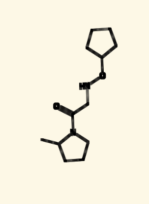 CC1CCCN1C(=O)CNOC1CCCC1